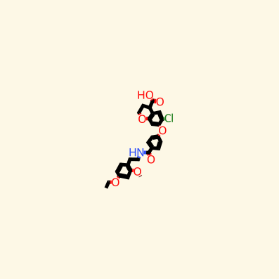 CCOc1ccc(CCNC(=O)c2ccc(Oc3cc4c(cc3Cl)C(C(=O)O)CCO4)cc2)c(OC)c1